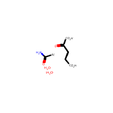 CC(=O)C(N)=O.O.O.O=C(O)CCC(=O)C(=O)O